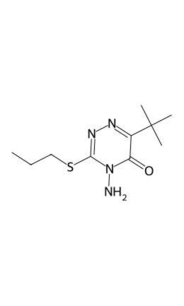 CCCSc1nnc(C(C)(C)C)c(=O)n1N